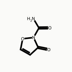 NC(=O)n1occc1=O